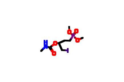 CNC(=O)OC(CI)CCP(=O)(OC)OC